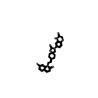 O=C1COc2ccc(N3CC4(CCC(=CCn5c(=O)ccc6ncc(F)cc65)CC4)OC3=O)cc2N1